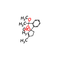 COC(C)(OC)c1ccccc1C1(O)C=C(C)CC1